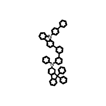 C1=CC(N(c2ccccc2)c2cccc(-c3cccc(-c4ccc5c6ccccc6n(-c6ccc(-c7ccccc7)cc6)c5c4)c3)c2)CC2=C1c1ccccc1C2(c1ccccc1)c1ccccc1